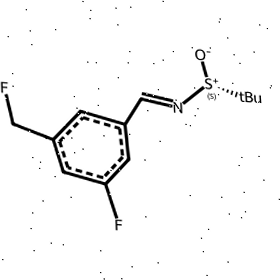 CC(C)(C)[S@@+]([O-])N=Cc1cc(F)cc(CF)c1